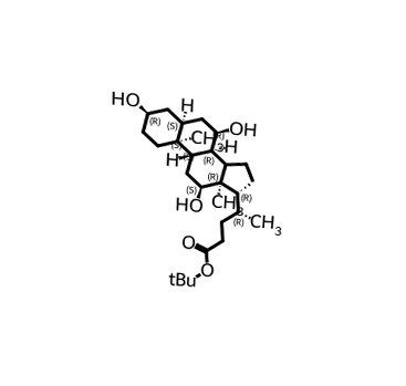 C[C@H](CCC(=O)OC(C)(C)C)[C@H]1CCC2[C@@H]3[C@H](O)C[C@@H]4C[C@H](O)CC[C@]4(C)[C@H]3C[C@H](O)[C@@]21C